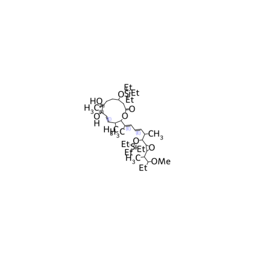 CCC(OC)C(C)C1OC1C(O[Si](CC)(CC)CC)C(C)/C=C/C=C(\C)C1OC(=O)CC(O[Si](CC)(CC)CC)CC[C@@](C)(O)[C@H](O)/C=C/C1C